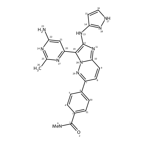 CNC(=O)c1ccc(-c2ccc3nc(Nc4cc[nH]n4)c(-c4cc(N)nc(C)n4)n3n2)cc1